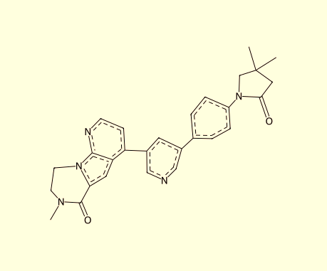 CN1CCn2c(cc3c(-c4cncc(-c5ccc(N6CC(C)(C)CC6=O)cc5)c4)ccnc32)C1=O